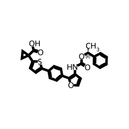 C[C@@H](OC(=O)Nc1ccoc1-c1ccc(-c2ccc(C3(C(=O)O)CC3)s2)cc1)c1ccccc1